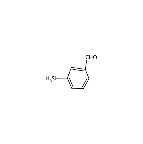 O=Cc1cccc([SiH3])c1